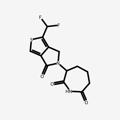 O=C1CCCC(N2Cc3c(csc3C(F)F)C2=O)C(=O)N1